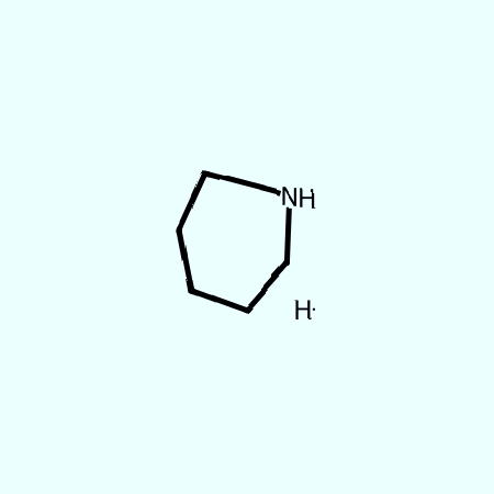 C1CCNCC1.[H]